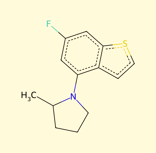 CC1CCCN1c1cc(F)cc2sccc12